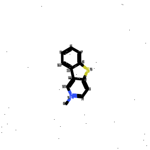 C[n+]1ccc2sc3ccccc3c2c1